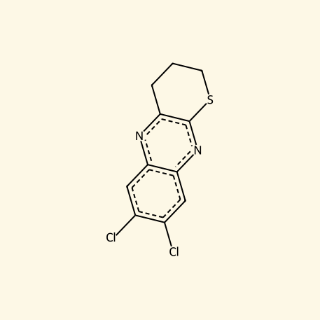 Clc1cc2nc3c(nc2cc1Cl)SCCC3